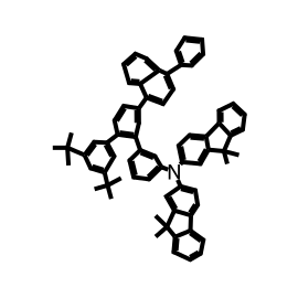 CC(C)(C)c1cc(-c2ccc(-c3ccc(-c4ccccc4)c4ccccc34)cc2-c2cccc(N(c3ccc4c(c3)C(C)(C)c3ccccc3-4)c3ccc4c(c3)C(C)(C)c3ccccc3-4)c2)cc(C(C)(C)C)c1